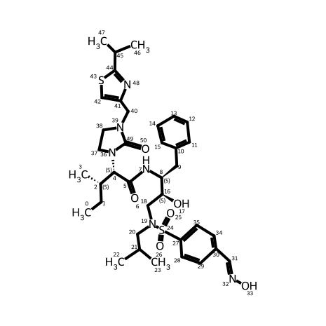 CC[C@H](C)[C@@H](C(=O)N[C@@H](Cc1ccccc1)[C@@H](O)CN(CC(C)C)S(=O)(=O)c1ccc(C=NO)cc1)N1CCN(Cc2csc(C(C)C)n2)C1=O